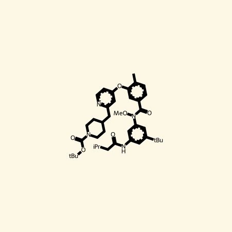 CON(C(=O)c1ccc(C)c(Oc2ccnc(CC3CCN(C(=O)OC(C)(C)C)CC3)c2)c1)c1cc(NC(=O)CC(C)C)cc(C(C)(C)C)c1